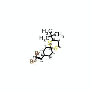 CC(C)(C)C1CCSC2(CCC(C=C(Br)Br)CC2)S1